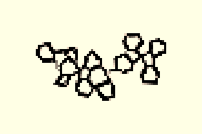 c1ccc(N(c2ccc(C3(c4ccccc4)c4ccccc4-c4ccccc43)cc2)c2cccc3c2-c2ccccc2C32c3ccccc3-n3c4ccccc4c4cccc2c43)cc1